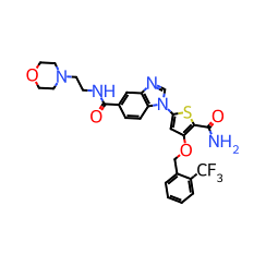 NC(=O)c1sc(-n2cnc3cc(C(=O)NCCN4CCOCC4)ccc32)cc1OCc1ccccc1C(F)(F)F